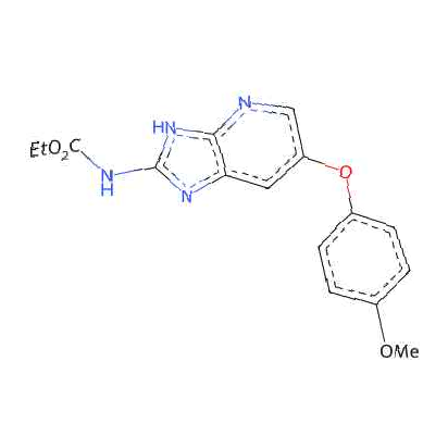 CCOC(=O)Nc1nc2cc(Oc3ccc(OC)cc3)cnc2[nH]1